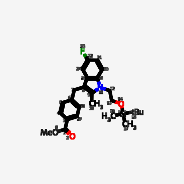 COC(=O)c1ccc(Cc2c(C)n(CCO[Si](C)(C)C(C)(C)C)c3ccc(F)cc23)cc1